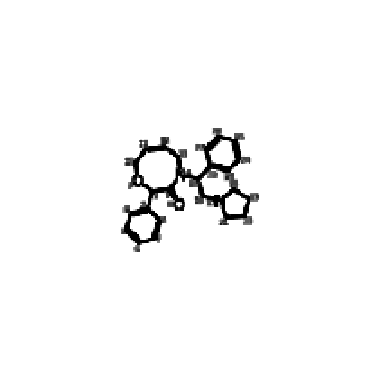 O=C1C(c2ccccc2)OCC=CCN1[C@H](CN1CCCC1)c1ccccc1